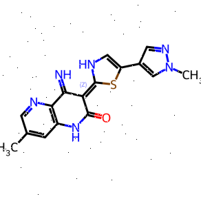 Cc1cnc2c(c1)NC(=O)/C(=C1/NC=C(c3cnn(C)c3)S1)C2=N